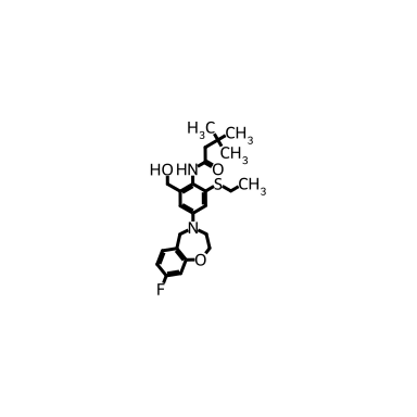 CCSc1cc(N2CCOc3cc(F)ccc3C2)cc(CO)c1NC(=O)CC(C)(C)C